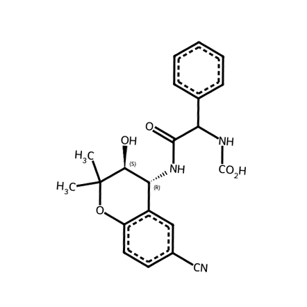 CC1(C)Oc2ccc(C#N)cc2[C@@H](NC(=O)C(NC(=O)O)c2ccccc2)[C@@H]1O